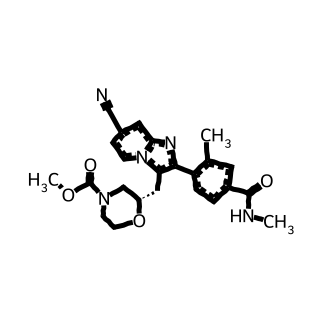 CNC(=O)c1ccc(-c2nc3cc(C#N)ccn3c2C[C@H]2CN(C(=O)OC)CCO2)c(C)c1